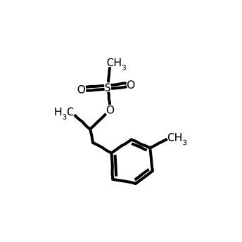 Cc1cccc(CC(C)OS(C)(=O)=O)c1